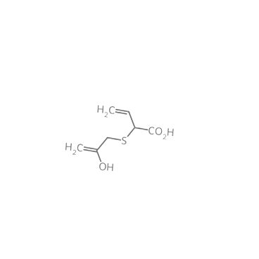 C=CC(SCC(=C)O)C(=O)O